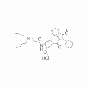 CCCCN(CCCC)CCC(=O)Nc1ccc(C(=O)c2c(-c3ccccc3)c(OC)c3ccccn23)cc1OC.Cl